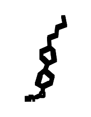 CC=CC=Cc1ccc(-c2ccc(OCCC)cc2)cc1